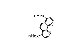 CCCCCCc1ccnc2c1ccc1c(CCCCCC)ccnc12